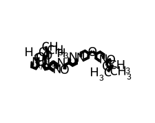 CN1CCC[C@@H]1c1cc2cnc(NC(=O)c3ccc(N4CCC(OC5CCN(C(=O)OC(C)(C)C)CC5)CC4)nc3)cc2n1C(=O)OC(C)(C)C